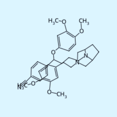 COc1ccc(CCN2CC3CCC(C2)N3CCCC(Oc2ccc(OC)c(OC)c2)c2ccc(C#N)cc2)cc1OC